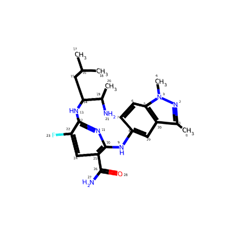 Cc1nn(C)c2ccc(Nc3nc(NC(CC(C)C)C(C)N)c(F)cc3C(N)=O)cc12